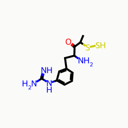 CC(SS)C(=O)C(N)Cc1cccc(NC(=N)N)c1